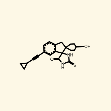 O=C1NC(=S)NC12c1cc(C#CC3CC3)ccc1CC21CCC(O)CC1